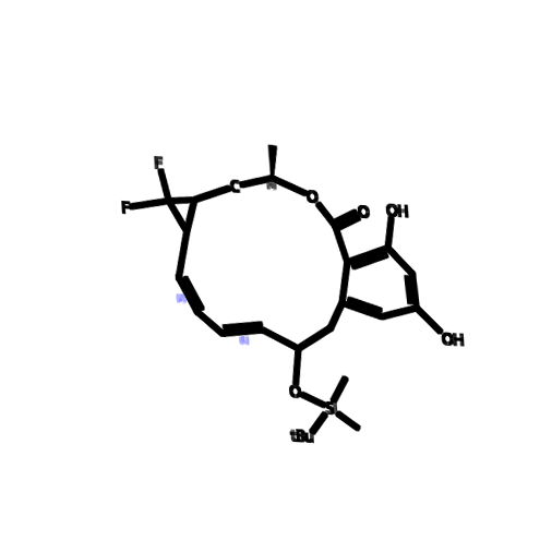 C[C@@H]1CC2C(/C=C\C=C\C(O[Si](C)(C)C(C)(C)C)Cc3cc(O)cc(O)c3C(=O)O1)C2(F)F